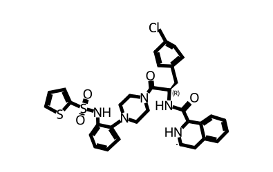 O=C(N[C@H](Cc1ccc(Cl)cc1)C(=O)N1CCN(c2ccccc2NS(=O)(=O)c2cccs2)CC1)C1N[CH]Cc2ccccc21